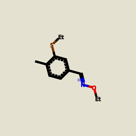 CCO/N=C/c1ccc(C)c(SCC)c1